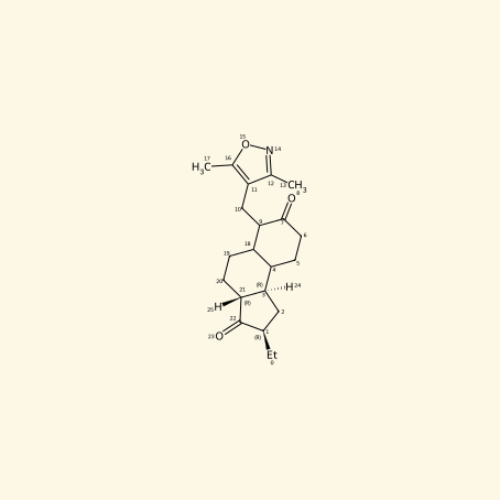 CC[C@@H]1C[C@@H]2C3CCC(=O)C(Cc4c(C)noc4C)C3CC[C@H]2C1=O